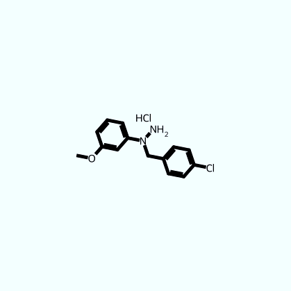 COc1cccc(N(N)Cc2ccc(Cl)cc2)c1.Cl